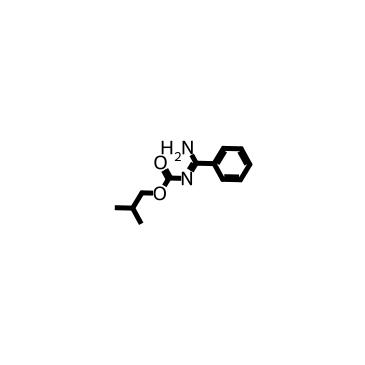 CC(C)COC(=O)N=C(N)c1ccccc1